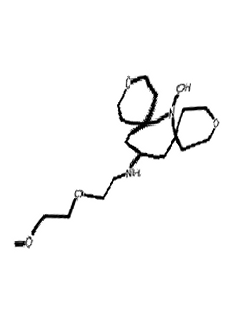 COCCOCCNC1CC2(CCOCC2)N(O)C2(CCOCC2)C1